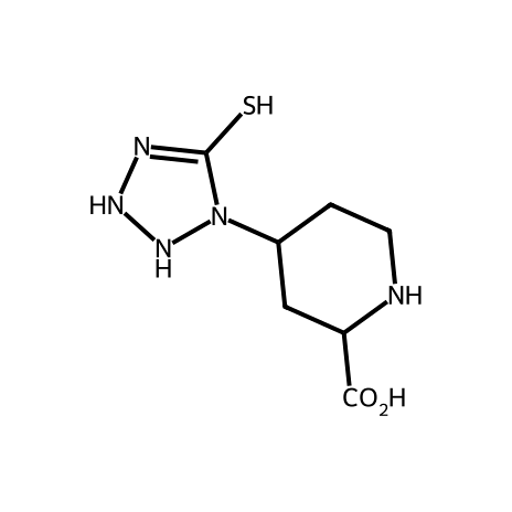 O=C(O)C1CC(N2NNN=C2S)CCN1